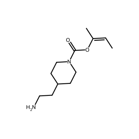 C/C=C(/C)OC(=O)N1CCC(CCN)CC1